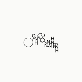 O=C(N[C@@H]1CCCOc2cc(-c3ncnc(Nc4cc[nH]n4)n3)ccc21)C1CCCCCCCCCCC1